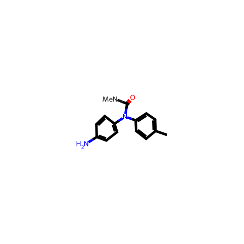 CNC(=O)N(c1ccc(C)cc1)c1ccc(N)cc1